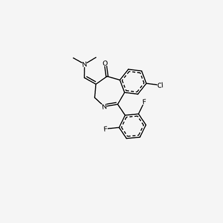 CN(C)C=C1CN=C(c2c(F)cccc2F)c2cc(Cl)ccc2C1=O